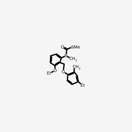 CCOc1cccc(N(C)C(=O)SC)c1COc1ccc(CC)cc1C